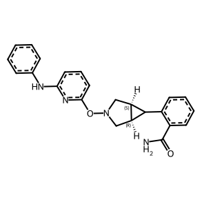 NC(=O)c1ccccc1C1[C@H]2CN(Oc3cccc(Nc4ccccc4)n3)C[C@@H]12